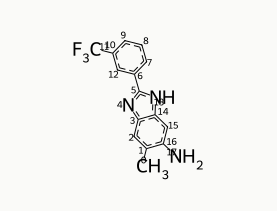 Cc1cc2nc(-c3cccc(C(F)(F)F)c3)[nH]c2cc1N